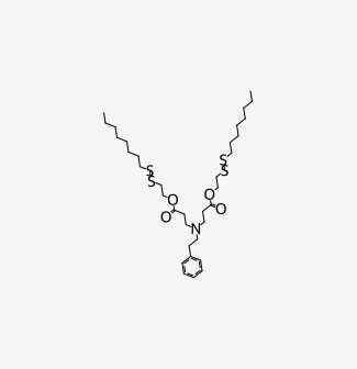 CCCCCCCCSSCCOC(=O)CCN(CCC(=O)OCCSSCCCCCCCC)CCc1ccccc1